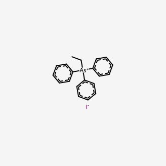 CC[As+](c1ccccc1)(c1ccccc1)c1ccccc1.[I-]